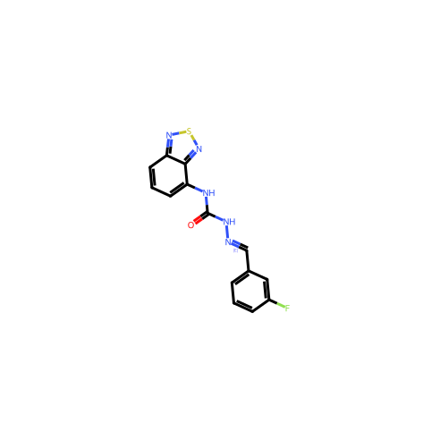 O=C(N/N=C/c1cccc(F)c1)Nc1cccc2nsnc12